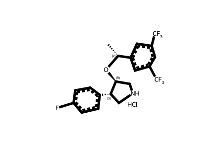 C[C@@H](O[C@H]1CNC[C@@H]1c1ccc(F)cc1)c1cc(C(F)(F)F)cc(C(F)(F)F)c1.Cl